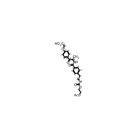 CC(=O)OCCOC(=O)N=NCc1ccc(C(=O)N[C@@H](C)C(=O)c2ccc(OCC(=O)O)cc2)cc1